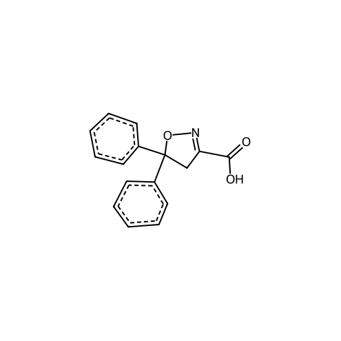 O=C(O)C1=NOC(c2ccccc2)(c2ccccc2)C1